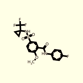 COc1ccc(S(=O)(=O)NC2(C(F)(F)F)CC2)cc1C(=O)Nc1ccc(F)cc1